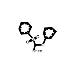 CCCCCCC(Oc1ccccc1)S(=O)(=O)c1ccccc1